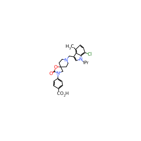 Cc1ccc(Cl)c2c1c(CN1CCC3(CC1)CN(c1ccc(C(=O)O)cc1)C(=O)O3)cn2C(C)C